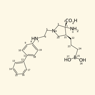 N[C@@]1(C(=O)O)CN(CCNc2ccc(-c3ccccc3)cc2)C[C@@H]1CCCB(O)O